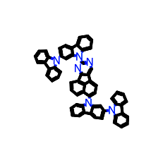 c1cc2c3c(ccc(-n4c5ccccc5c5ccc(-n6c7ccccc7c7ccccc76)cc54)c3c1)-c1cnc(-n3c4ccccc4c4ccc(-n5c6ccccc6c6ccccc65)cc43)nc1-2